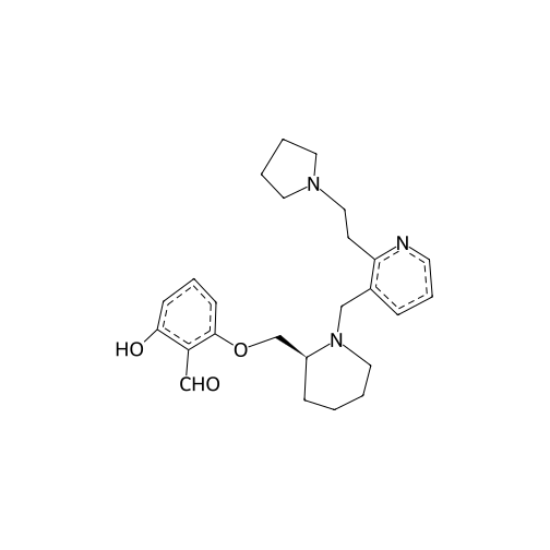 O=Cc1c(O)cccc1OC[C@@H]1CCCCN1Cc1cccnc1CCN1CCCC1